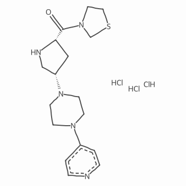 Cl.Cl.Cl.O=C([C@@H]1C[C@H](N2CCN(c3ccncc3)CC2)CN1)N1CCSC1